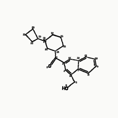 O=C(c1cc(CO)c2ccccc2c1)C1CCCN(C2CCC2)C1